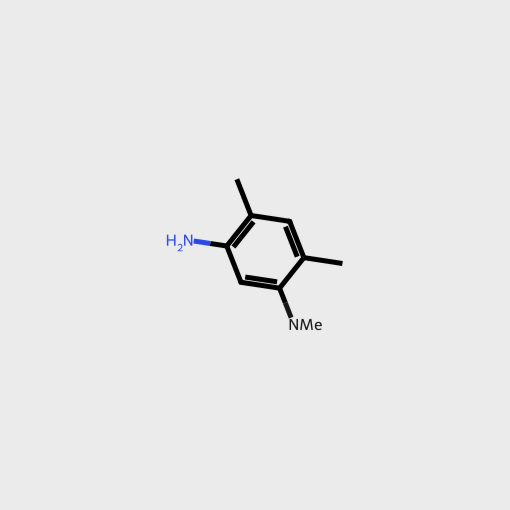 CNc1cc(N)c(C)cc1C